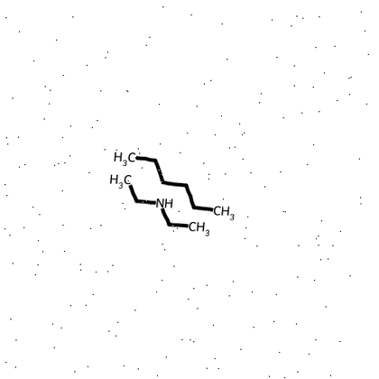 CCCCCC.CCNCC